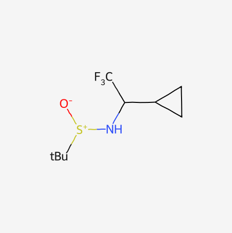 CC(C)(C)[S+]([O-])NC(C1CC1)C(F)(F)F